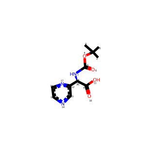 CC(C)(C)OC(=O)N[C@@H](C(=O)O)c1cnccn1